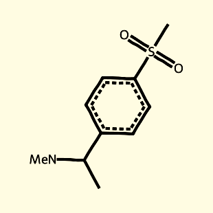 CNC(C)c1ccc(S(C)(=O)=O)cc1